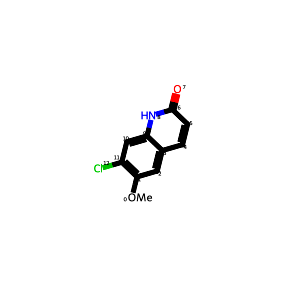 COc1cc2ccc(=O)[nH]c2cc1Cl